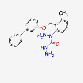 Cc1cccc(N(N)C(=O)NN)c1COc1cccc(-c2ccccc2)c1